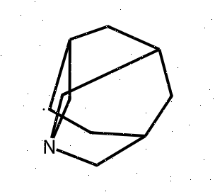 [CH]1CC2CC3CC1CN(C2)C3